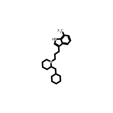 FC(F)(F)c1cccc2c(CCCN3CCCCC3CC3CCCCC3)c[nH]c12